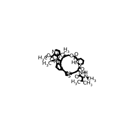 CCn1c(-c2cccnc2[C@H](C)OC)c2c3cc(ccc31)-c1csc(n1)CC(NC(=O)[C@@H](NC)C(C)C)C(=O)N1CCC[C@H](N1)C(=O)OCC(C)(C)C2